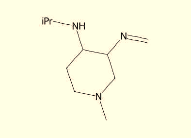 C=NC1CN(C)CCC1NC(C)C